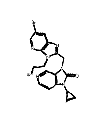 CC(C)CCn1c(Cn2c(=O)n(C3CC3)c3ccncc32)nc2cc(Br)cnc21